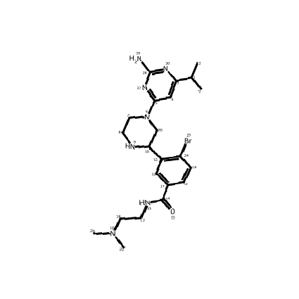 CC(C)c1cc(N2CCNC(c3cc(C(=O)NCCN(C)C)ccc3Br)C2)nc(N)n1